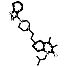 Cc1c(C)c2cc(CCN3CCN(c4nsc5ccccc45)CC3)ccc2n(CC(C)C)c1=O